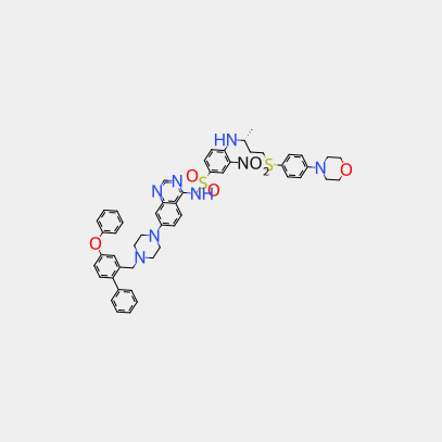 C[C@H](CCSc1ccc(N2CCOCC2)cc1)Nc1ccc(S(=O)(=O)Nc2ncnc3cc(N4CCN(Cc5cc(Oc6ccccc6)ccc5-c5ccccc5)CC4)ccc23)cc1[N+](=O)[O-]